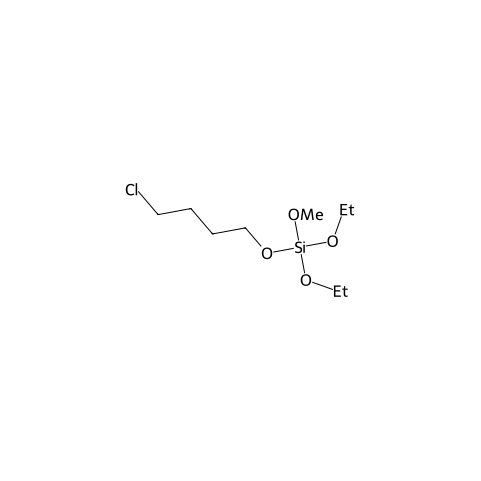 CCO[Si](OC)(OCC)OCCCCCl